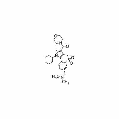 CN(C)Cc1ccc2c(c1)S(=O)(=O)Cc1c(C(=O)N3CCOCC3)nn(C3CCCCC3)c1-2